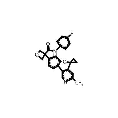 O=C(Nc1ccc(F)cc1)C1(c2ccc(-c3cnc(C(F)(F)F)cc3C3(O)CC3)cc2)COC1